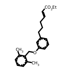 CCOC(=O)C=CCCCc1cccc(OCc2c(C)cccc2C)c1